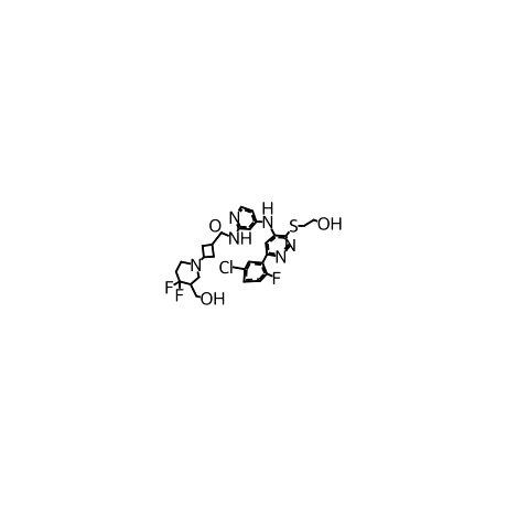 O=C(Nc1cc(Nc2cc(-c3cc(Cl)ccc3F)nnc2SCCO)ccn1)C1CC(N2CCC(F)(F)C(CO)C2)C1